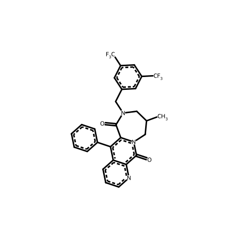 CC1CN(Cc2cc(C(F)(F)F)cc(C(F)(F)F)c2)C(=O)c2c(-c3ccccc3)c3cccnc3c(=O)n2C1